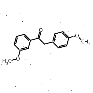 COc1ccc(CC(=O)c2cccc(OC)c2)cc1